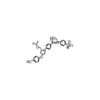 CCS(=O)(=O)c1ccc([C@H](CO)NC(=O)c2ccc(N3CC(Oc4ccc(C#N)cc4)C[C@H]3COC(F)F)cc2)cc1